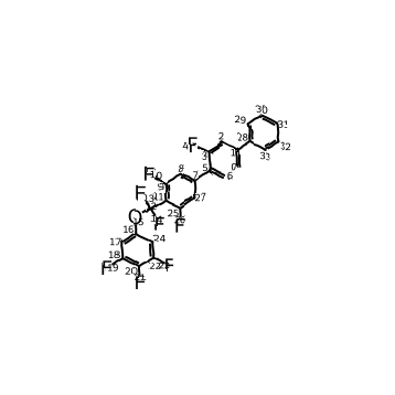 C=C(/C=C(/F)C(=C)c1cc(F)c(C(F)(F)Oc2cc(F)c(F)c(F)c2)c(F)c1)c1ccccc1